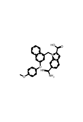 COc1ccc(Oc2cc(Cn3c(C(=O)O)cc4ccc(C(=N)N)cc43)c3ccccc3c2)cc1